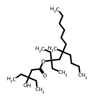 CCCCCCC(C)(CCCC)CC(CC)(CC)OC(=O)CC(O)(CC)CC